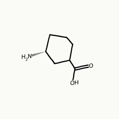 N[C@@H]1CCCC(C(=O)O)C1